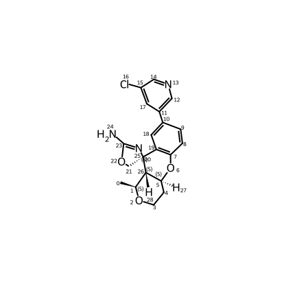 C[C@@H]1OCC[C@@H]2Oc3ccc(-c4cncc(Cl)c4)cc3[C@@]3(COC(N)=N3)[C@@H]12